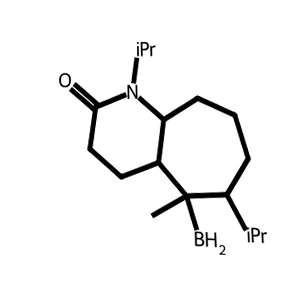 BC1(C)C(C(C)C)CCCC2C1CCC(=O)N2C(C)C